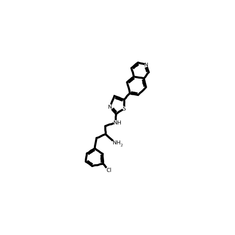 NC(CNc1ncc(-c2ccc3cnccc3c2)s1)Cc1cccc(Cl)c1